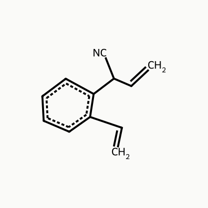 C=Cc1ccccc1C(C#N)C=C